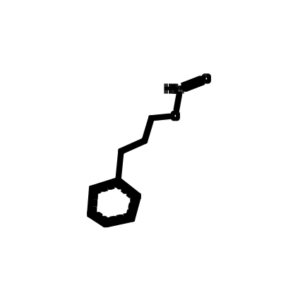 [O]=[SnH][O]CCCc1ccccc1